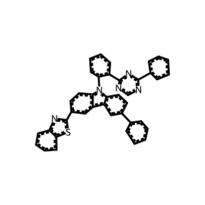 c1ccc(-c2ccc3c(c2)c2cc(-c4nc5ccccc5s4)ccc2n3-c2ccccc2-c2ncnc(-c3ccccc3)n2)cc1